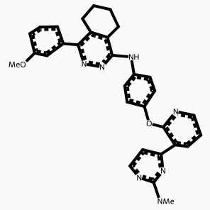 CNc1nccc(-c2cccnc2Oc2ccc(Nc3nnc(-c4cccc(OC)c4)c4c3CCCC4)cc2)n1